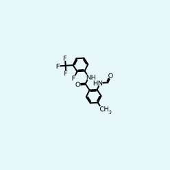 Cc1ccc(C(=O)Nc2cccc(C(F)(F)F)c2F)c(NC=O)c1